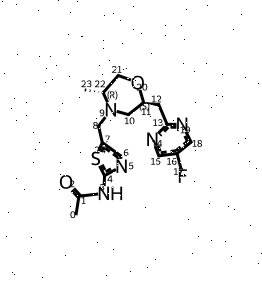 CC(=O)Nc1ncc(CN2C[C@H](Cc3ncc(F)cn3)OC[C@H]2C)s1